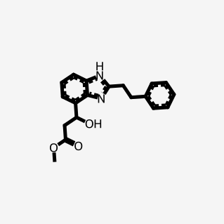 COC(=O)CC(O)c1cccc2[nH]c(CCc3ccccc3)nc12